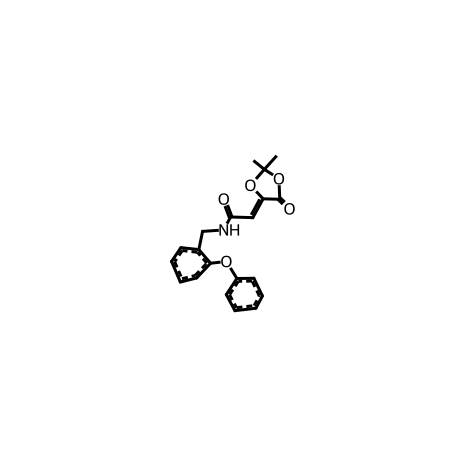 CC1(C)OC(=O)/C(=C/C(=O)NCc2ccccc2Oc2ccccc2)O1